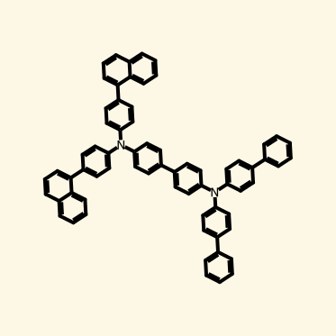 c1ccc(-c2ccc(N(c3ccc(-c4ccccc4)cc3)c3ccc(-c4ccc(N(c5ccc(-c6cccc7ccccc67)cc5)c5ccc(-c6cccc7ccccc67)cc5)cc4)cc3)cc2)cc1